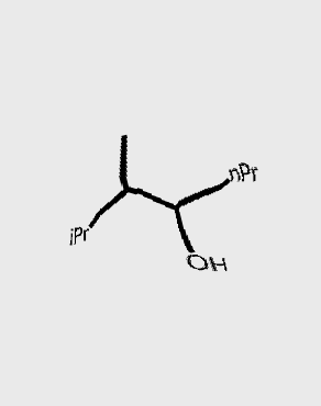 CCCC(O)C(C)C(C)C